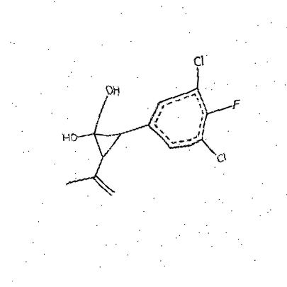 C=C(C)C1C(c2cc(Cl)c(F)c(Cl)c2)C1(O)O